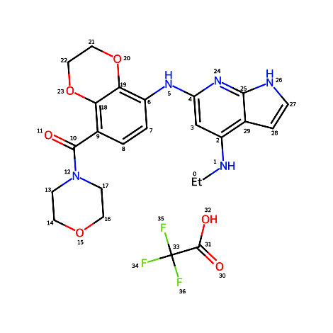 CCNc1cc(Nc2ccc(C(=O)N3CCOCC3)c3c2OCCO3)nc2[nH]ccc12.O=C(O)C(F)(F)F